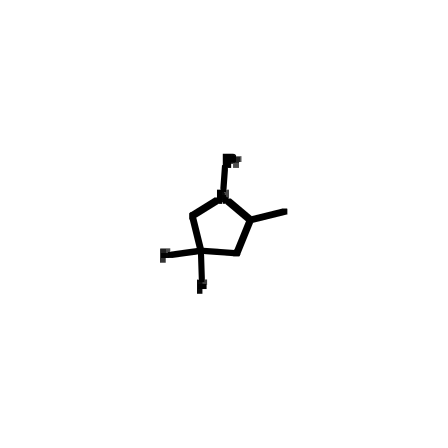 CC(C)N1CC(F)(F)CC1C